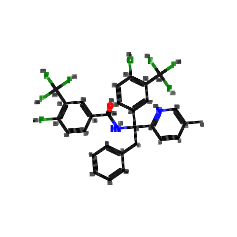 Cc1ccc(C(Cc2ccccc2)(NC(=O)c2ccc(F)c(C(F)(F)F)c2)c2ccc(Cl)c(C(F)(F)F)c2)nc1